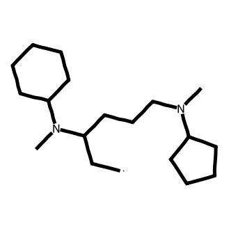 [CH2]CC(CCCN(C)C1CCCC1)N(C)C1CCCCC1